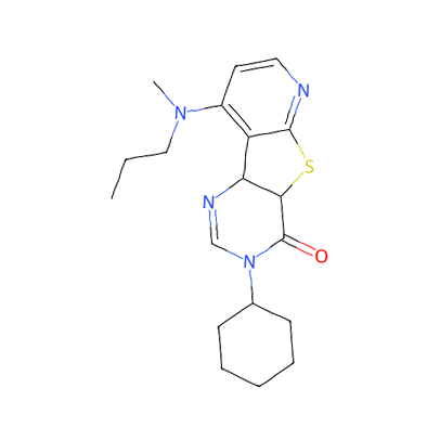 CCCN(C)c1ccnc2c1C1N=CN(C3CCCCC3)C(=O)C1S2